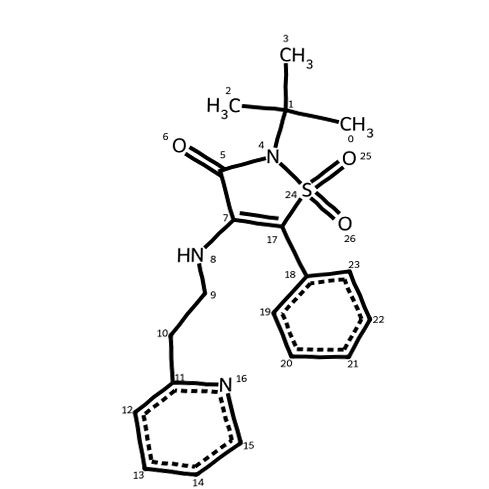 CC(C)(C)N1C(=O)C(NCCc2ccccn2)=C(c2ccccc2)S1(=O)=O